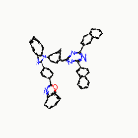 c1ccc2cc(-c3nc(-c4ccc(-n5c(-c6ccc(-c7nc8ccccc8o7)cc6)nc6ccccc65)cc4)nc(-c4ccc5ccccc5c4)n3)ccc2c1